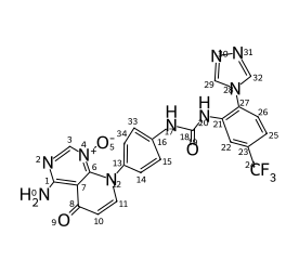 Nc1nc[n+]([O-])c2c1c(=O)ccn2-c1ccc(NC(=O)Nc2cc(C(F)(F)F)ccc2-n2cnnc2)cc1